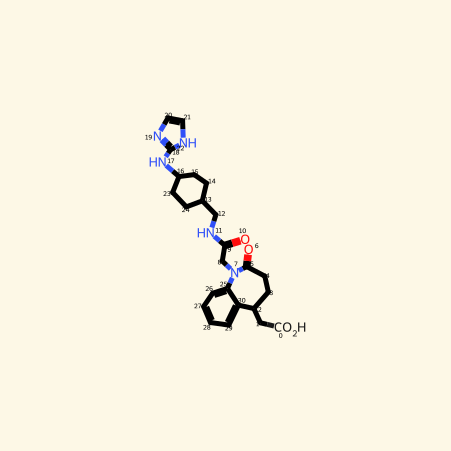 O=C(O)CC1CCC(=O)N(CC(=O)NCC2CCC(Nc3ncc[nH]3)CC2)c2ccccc21